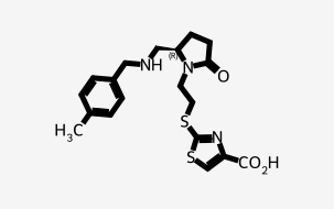 Cc1ccc(CNC[C@H]2CCC(=O)N2CCSc2nc(C(=O)O)cs2)cc1